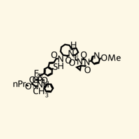 CCCOC(=O)[C@H](C)NP(=O)(Oc1ccccc1)[C@@H](F)c1ccc2sc(C(=O)NC3CCCC[C@H]4CC[C@@H](C(=O)N5C(=O)N(c6ccc(OC)nc6)C(=O)C56CC6)N4C3=O)cc2c1